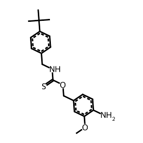 COc1cc(COC(=S)NCc2ccc(C(C)(C)C)cc2)ccc1N